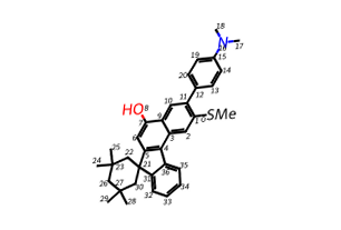 CSc1cc2c3c(cc(O)c2cc1-c1ccc(N(C)C)cc1)C1(CC(C)(C)CC(C)(C)C1)c1ccccc1-3